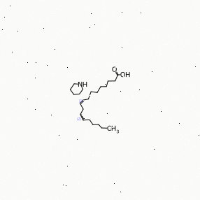 C1CCNCC1.CCCCC/C=C\C/C=C\CCCCCCCC(=O)O